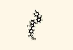 CN1CCC(c2cc(Nc3ccnc4[nH]c(C5=CCN(C(=O)OC(C)(C)C)CC5)cc34)ccc2F)CC1